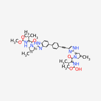 COC(=O)N[C@H](C(=O)N1C[C@@H](C)C[C@H]1c1nc2cc(-c3ccc(C#Cc4c[nH]c([C@@H]5C[C@H](C)CN5C(=O)[C@@H](NC(=O)O)C(C)C)n4)cc3)ccc2[nH]1)C(C)C